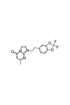 Cc1cc(=O)n2ccn(CCc3ccc4c(c3)OC(F)(F)O4)c2n1